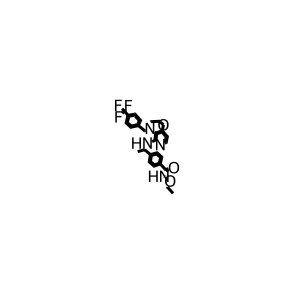 CCONC(=O)c1ccc(C(C)Nc2nccc3c2N(Cc2ccc(C(F)(F)F)cc2)CCO3)cc1